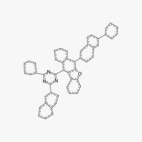 c1ccc(-c2ccc3cc(-c4c5ccccc5c(-c5nc(-c6ccccc6)nc(-c6ccc7ccccc7c6)n5)c5c4oc4ccccc45)ccc3c2)cc1